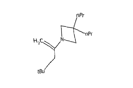 C=C(CC(C)(C)C)N1CC(CCC)(CCC)C1